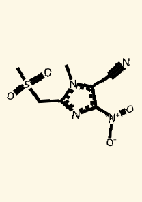 Cn1c(CS(C)(=O)=O)nc([N+](=O)[O-])c1C#N